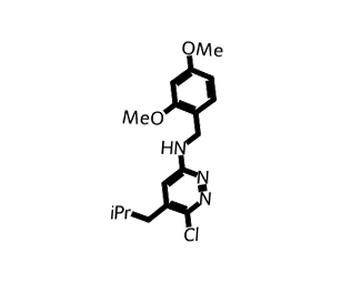 COc1ccc(CNc2cc(CC(C)C)c(Cl)nn2)c(OC)c1